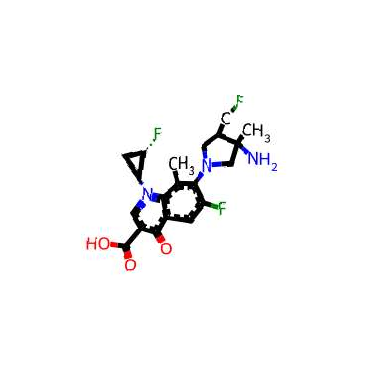 Cc1c(N2CC(CF)C(C)(N)C2)c(F)cc2c(=O)c(C(=O)O)cn([C@@H]3C[C@@H]3F)c12